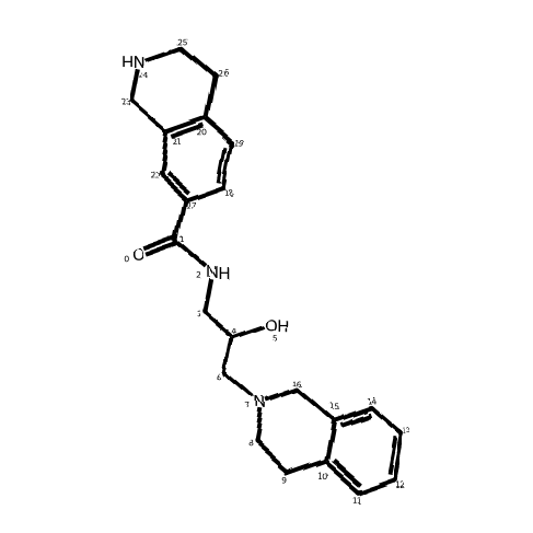 O=C(NCC(O)CN1CCc2ccccc2C1)c1ccc2c(c1)CNCC2